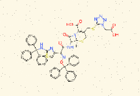 O=C(O)Cn1nnnc1SCC1=C(C(=O)O)N2C(=O)C(NC(=O)C(=NOC(c3ccccc3)(c3ccccc3)c3ccccc3)c3csc(NC(c4ccccc4)(c4ccccc4)c4ccccc4)n3)[C@@H]2SC1